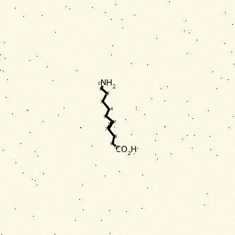 NCCCCCC=CCCC(=O)O